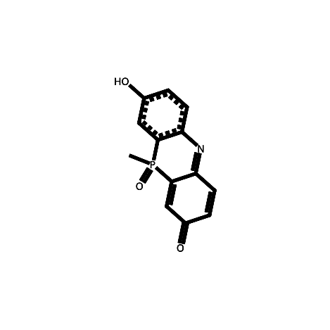 CP1(=O)C2=CC(=O)C=CC2=Nc2ccc(O)cc21